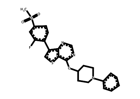 CS(=O)(=O)c1ccc(-c2csc3c(OC4CCN(c5[c]cccc5)CC4)ncnc23)c(F)c1